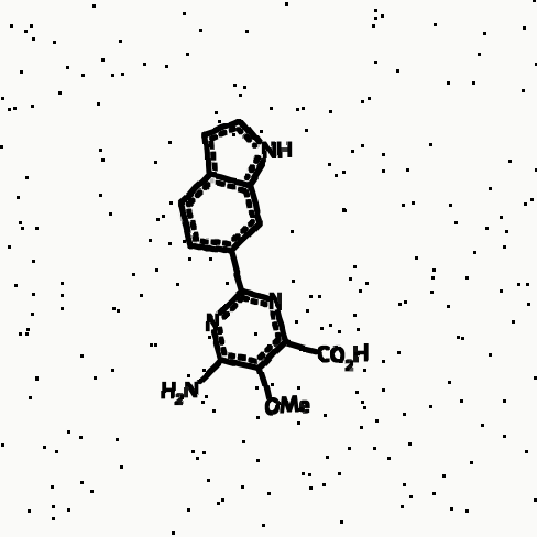 COc1c(N)nc(-c2ccc3cc[nH]c3c2)nc1C(=O)O